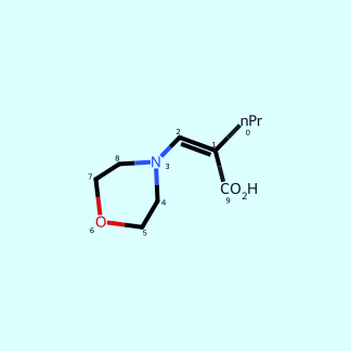 CCCC(=CN1CCOCC1)C(=O)O